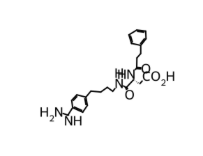 N=C(N)c1ccc(CCCCNC(=O)[C@@H](CC(=O)O)NC(=O)CCc2ccccc2)cc1